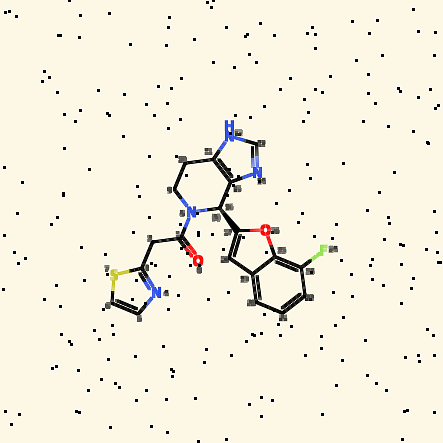 O=C(Cc1nccs1)N1CCc2[nH]cnc2[C@H]1c1cc2cccc(F)c2o1